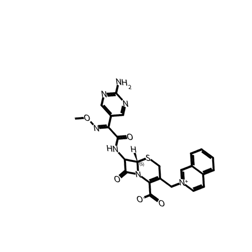 CON=C(C(=O)NC1C(=O)N2C(C(=O)[O-])=C(C[n+]3ccc4ccccc4c3)CS[C@@H]12)c1cnc(N)nc1